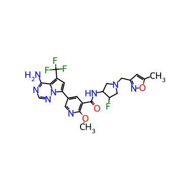 COc1ncc(-c2cc(C(F)(F)F)c3c(N)ncnn23)cc1C(=O)NC1CN(Cc2cc(C)on2)CC1F